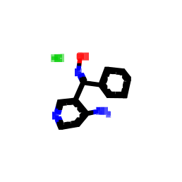 Cl.Nc1ccncc1C(=NO)c1ccccc1